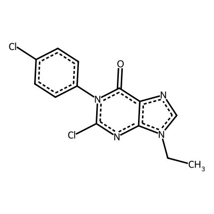 CCn1cnc2c(=O)n(-c3ccc(Cl)cc3)c(Cl)nc21